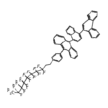 FC(F)(F)C(F)(F)C(F)(F)C(F)(F)C(F)(F)C(F)(F)C(F)(F)C(F)(F)CCc1ccc(-c2c3ccccc3c(-c3ccc(-c4cc5ccccc5c5ccccc45)c4ccccc34)c3ccccc23)cc1